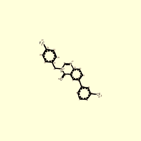 O=C1c2cc(-c3cccc(C(F)(F)F)c3)ccc2N=C[SH]1Cc1ccc(C(F)(F)F)cc1